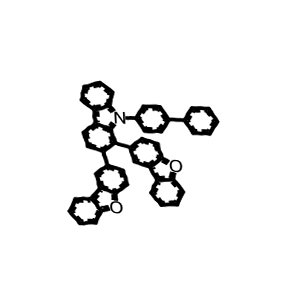 c1ccc(-c2ccc(-n3c4ccccc4c4ccc(-c5ccc6oc7ccccc7c6c5)c(-c5ccc6oc7ccccc7c6c5)c43)cc2)cc1